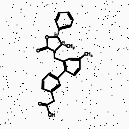 Cc1ccc(-c2cccc(CC(=O)O)c2)c(CN2C(=O)O[C@H](c3ccccc3)[C@@H]2C)c1